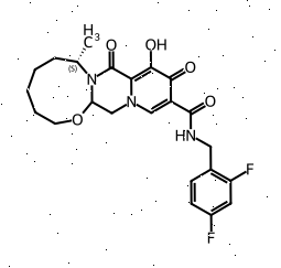 C[C@H]1CCCCCOC2Cn3cc(C(=O)NCc4ccc(F)cc4F)c(=O)c(O)c3C(=O)N21